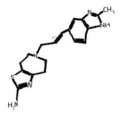 Cc1nc2cc(/C=C/CN3CCc4nc(N)sc4CC3)ccc2[nH]1